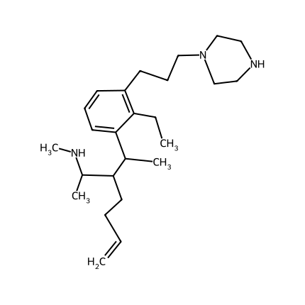 C=CCCC(C(C)NC)C(C)c1cccc(CCCN2CCNCC2)c1CC